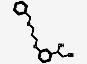 N#CCC(O)c1cccc(OCCCOCc2ccccc2)c1